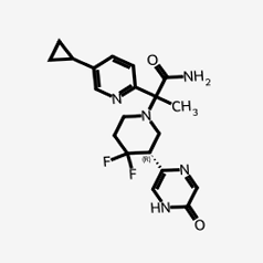 CC(C(N)=O)(c1ccc(C2CC2)cn1)N1CCC(F)(F)[C@@H](c2c[nH]c(=O)cn2)C1